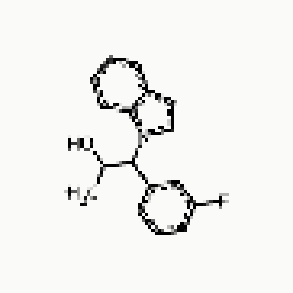 [CH2]C(O)C(c1cccc(F)c1)n1ccc2ccccc21